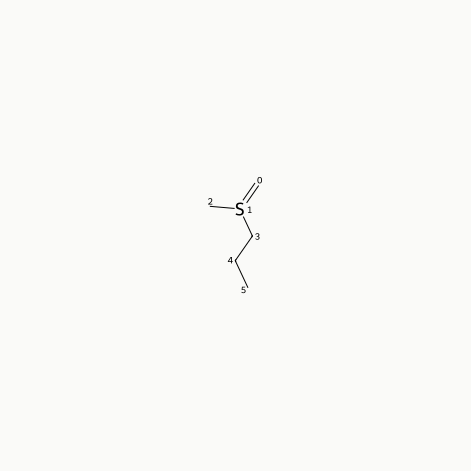 C=S(C)CCC